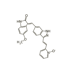 COc1ccc2c(c1)/C(=C\c1ccc3c(C=Cc4cccc[n+]4[O-])n[nH]c3c1)C(=O)N2